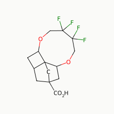 O=C(O)C12CC3CC4OCC(F)(F)C(F)(F)COC(C1)C34C2